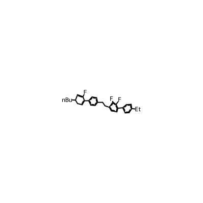 CCCCC1C=C(F)C(c2ccc(CCc3ccc(-c4ccc(CC)cc4)c(F)c3F)cc2)=CC1